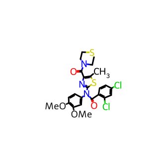 COc1ccc(N(C(=O)c2ccc(Cl)cc2Cl)c2nc(C(=O)N3CCSCC3)c(C)s2)cc1OC